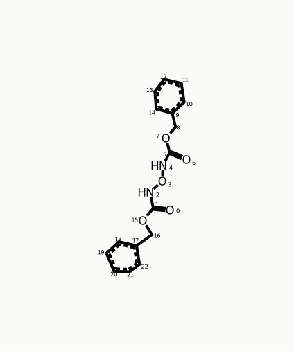 O=C(NONC(=O)OCc1ccccc1)OCc1ccccc1